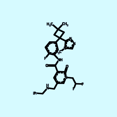 CC(C)CNCc1cc(C(=O)Nc2cc(C3(c4nncn4C)CC(C)(C)C3)ccc2F)c(=O)n(CC(F)F)c1